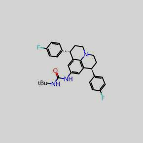 CC(C)(C)NC(=O)Nc1cc2c3c(c1)[C@H](c1ccc(F)cc1)CCN3CC[C@H]2c1ccc(F)cc1